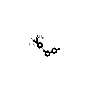 C=CCC(C)(C#N)c1ccc(OCc2cccc(-c3ccc(CF)cc3)c2)cc1